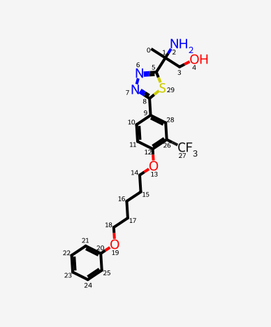 CC(N)(CO)c1nnc(-c2ccc(OCCCCCOc3ccccc3)c(C(F)(F)F)c2)s1